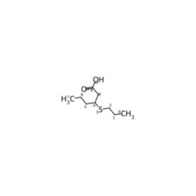 CCCSC(CCC)CC(=O)O